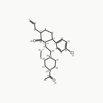 C=CCC1CCC(c2ccc(Cl)cc2)N([C@@H](CC)CN2CCN(C(C)=O)CC2)C1=O